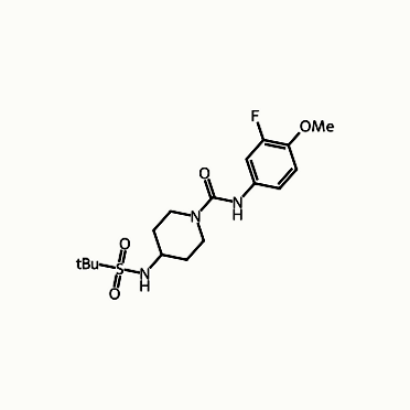 COc1ccc(NC(=O)N2CCC(NS(=O)(=O)C(C)(C)C)CC2)cc1F